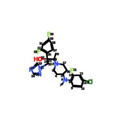 C[C@@H](N1CCC(N(C)c2ccc(Cl)cc2F)CC1)[C@](O)(Cn1cncn1)c1ccc(F)cc1F